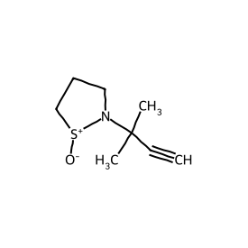 C#CC(C)(C)N1CCC[S+]1[O-]